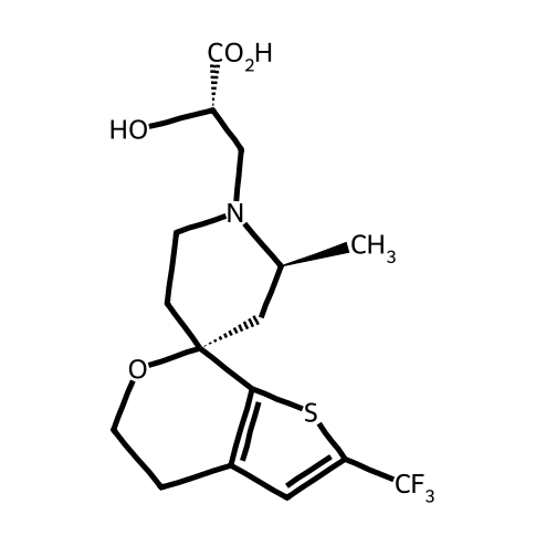 C[C@H]1C[C@@]2(CCN1C[C@H](O)C(=O)O)OCCc1cc(C(F)(F)F)sc12